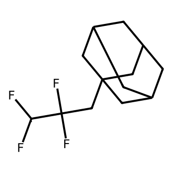 F[C](F)C(F)(F)CC12CC3CC(CC(C3)C1)C2